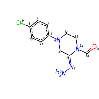 NN=C1CN(c2ccc(Cl)cc2)CCN1[C]=O